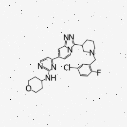 Fc1ccc(Cl)cc1CN1CCCC(c2nnc3cc(-c4ccnc(NC5CCOCC5)n4)ccn23)C1